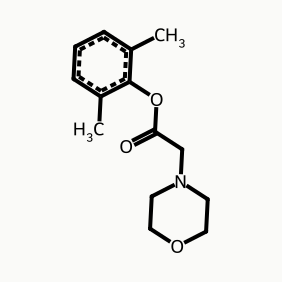 Cc1cccc(C)c1OC(=O)CN1CCOCC1